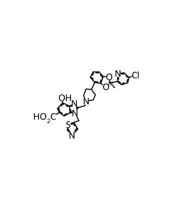 C[C@]1(c2ccc(Cl)cn2)Oc2cccc(C3CCN(Cc4nc5c(O)cc(C(=O)O)cc5n4Cc4cncs4)CC3)c2O1